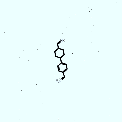 C=Cc1ccc(C2CCC(C=N)CC2)cc1